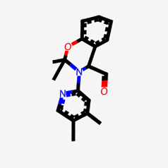 Cc1cnc(N2C(C=O)c3ccccc3OC2(C)C)cc1C